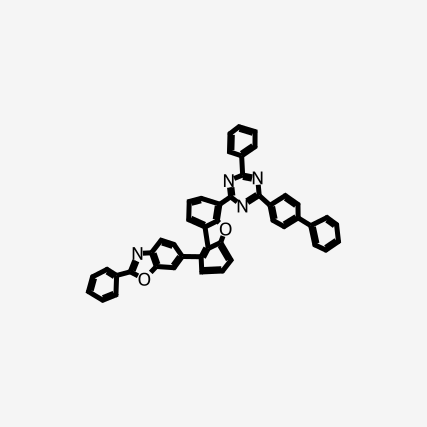 c1ccc(-c2ccc(-c3nc(-c4ccccc4)nc(-c4cccc5c4oc4cccc(-c6ccc7nc(-c8ccccc8)oc7c6)c45)n3)cc2)cc1